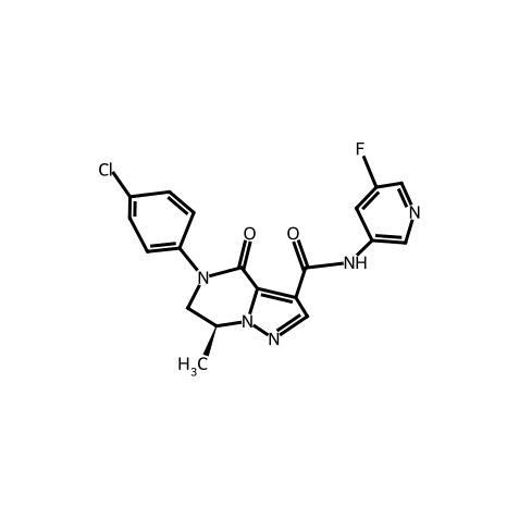 C[C@H]1CN(c2ccc(Cl)cc2)C(=O)c2c(C(=O)Nc3cncc(F)c3)cnn21